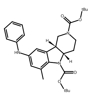 Cc1cc(Nc2ccccc2)cc2c1N(C(=O)OC(C)(C)C)[C@H]1CCN(C(=O)OC(C)(C)C)C[C@@H]21